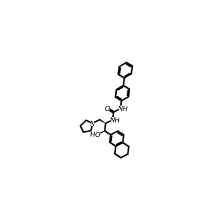 O=C(Nc1ccc(-c2ccccc2)cc1)N[C@H](CN1CCCC1)[C@H](O)c1ccc2c(c1)CCCC2